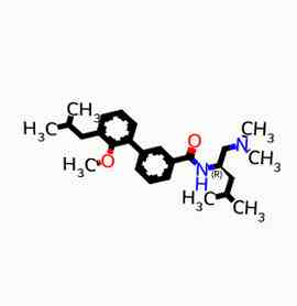 COc1c(CC(C)C)cccc1-c1cccc(C(=O)N[C@H](CC(C)C)CN(C)C)c1